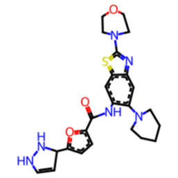 O=C(Nc1cc2sc(N3CCOCC3)nc2cc1N1CCCCC1)c1ccc(C2C=CNN2)o1